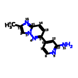 Cc1cn2nc(-c3ccnc(N)c3)ccc2n1